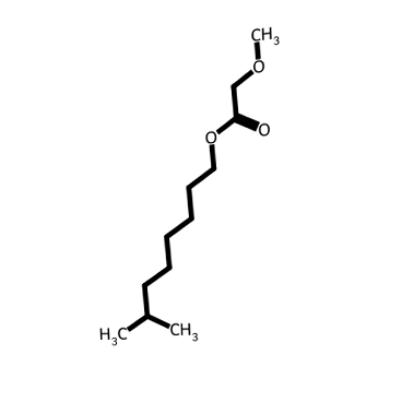 COCC(=O)OCCCCCCC(C)C